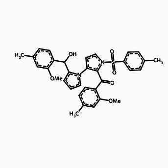 COc1cc(C)ccc1C(=O)c1c(-n2cccc2C(O)c2ccc(C)cc2OC)ccn1S(=O)(=O)c1ccc(C)cc1